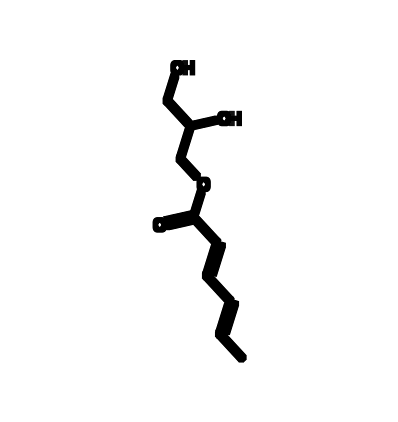 CC=CC=CC(=O)OCC(O)CO